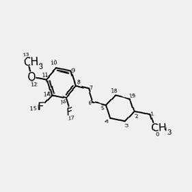 CCC1CCC(CCc2ccc(OC)c(F)c2F)CC1